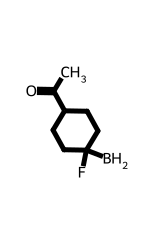 BC1(F)CCC(C(C)=O)CC1